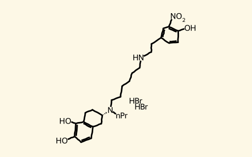 Br.Br.CCCN(CCCCCCNCCc1ccc(O)c([N+](=O)[O-])c1)[C@H]1CCc2c(ccc(O)c2O)C1